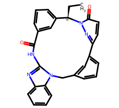 CC[C@@H]1c2cccc(c2)C(=O)Nc2nc3ccccc3n2Cc2cccc(c2)-c2ccc(=O)n1n2